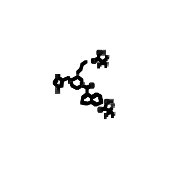 CCCC[C@H]1CN(C(=O)c2cccc3ccccc23)CCN1Cc1c[nH]cn1.O=C(O)C(F)(F)F.O=C(O)C(F)(F)F